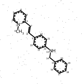 C[n+]1ccccc1/C=C/c1ccc(NCc2ccccc2)cc1